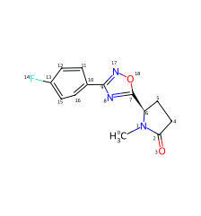 CN1C(=O)CC[C@@H]1c1nc(-c2ccc(F)cc2)no1